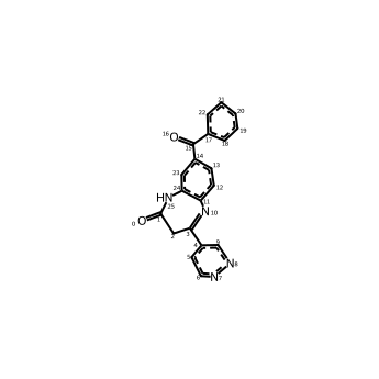 O=C1CC(c2ccnnc2)=Nc2ccc(C(=O)c3ccccc3)cc2N1